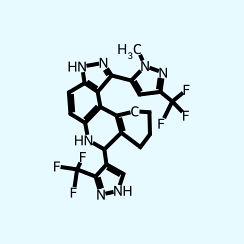 Cn1nc(C(F)(F)F)cc1-c1n[nH]c2ccc3c(c12)C1=C(CCCC1)C(c1c[nH]nc1C(F)(F)F)N3